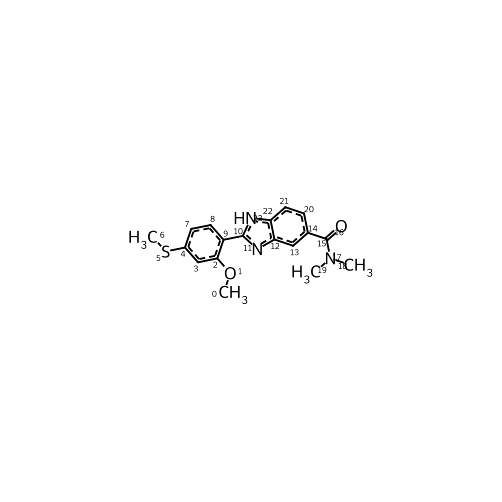 COc1cc(SC)ccc1-c1nc2cc(C(=O)N(C)C)ccc2[nH]1